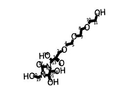 O=C(COCCOCCOCCO)C(O)N1C(=O)N(CO)C(O)C1O